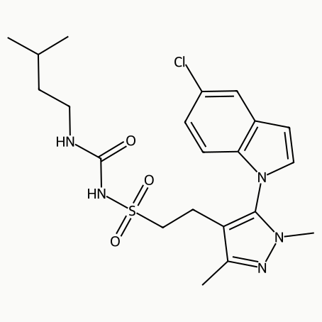 Cc1nn(C)c(-n2ccc3cc(Cl)ccc32)c1CCS(=O)(=O)NC(=O)NCCC(C)C